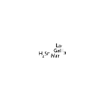 [GaH3].[La].[Mn].[SrH2]